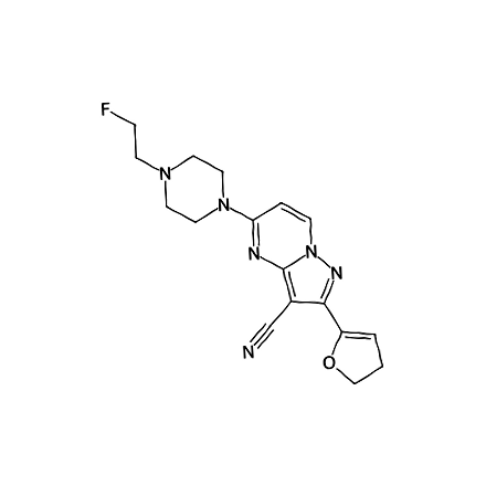 N#Cc1c(C2=CCCO2)nn2ccc(N3CCN(CCF)CC3)nc12